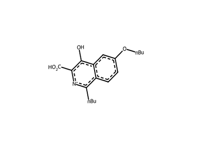 CCCCOc1ccc2c(CCCC)nc(C(=O)O)c(O)c2c1